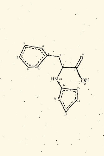 O=C(O)C(Cc1ccccc1)Nc1cccs1